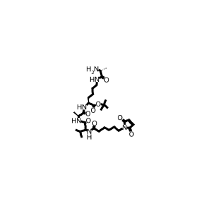 CC(C)C(NC(=O)CCCCCN1C(=O)C=CC1=O)C(=O)N[C@@H](C)C(=O)N[C@@H](CCCCNC(=O)[C@@H](C)N)C(=O)OC(C)(C)C